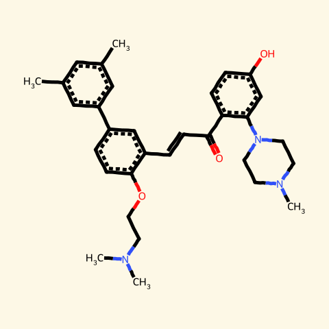 Cc1cc(C)cc(-c2ccc(OCCN(C)C)c(C=CC(=O)c3ccc(O)cc3N3CCN(C)CC3)c2)c1